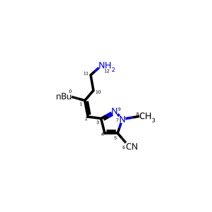 CCCC/C(=C/c1cc(C#N)n(C)n1)CCN